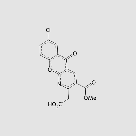 COC(=O)c1cc2c(=O)c3cc(Cl)ccc3oc2nc1CC(=O)O